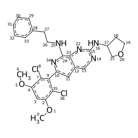 COc1cc(OC)c(Cl)c(-c2cc3cnc(NC4CCOC4)nc3c(NCCc3ccccc3)n2)c1Cl